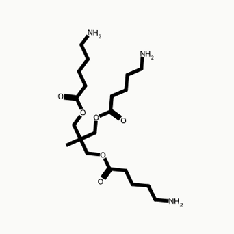 CC(COC(=O)CCCCN)(COC(=O)CCCCN)COC(=O)CCCCN